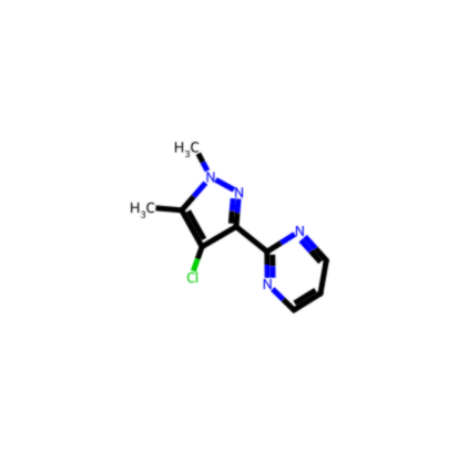 Cc1c(Cl)c(-c2ncccn2)nn1C